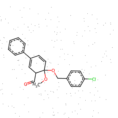 COC1(OCc2ccc(Cl)cc2)C=CC(c2ccccc2)=CC1C=O